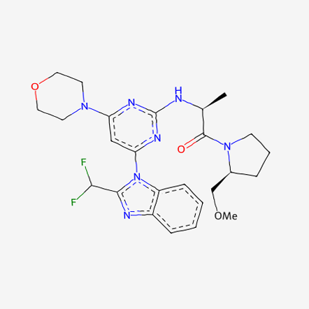 COC[C@@H]1CCCN1C(=O)[C@H](C)Nc1nc(N2CCOCC2)cc(-n2c(C(F)F)nc3ccccc32)n1